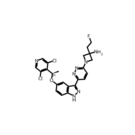 C[C@@H](Oc1ccc2[nH]nc(-c3ccc(N4CC(N)(CCF)C4)nn3)c2c1)c1c(Cl)cncc1Cl